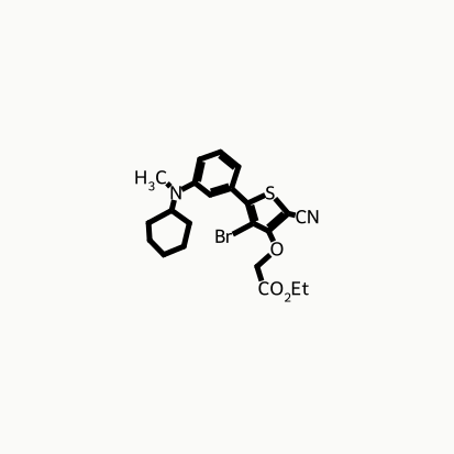 CCOC(=O)COc1c(C#N)sc(-c2cccc(N(C)C3CCCCC3)c2)c1Br